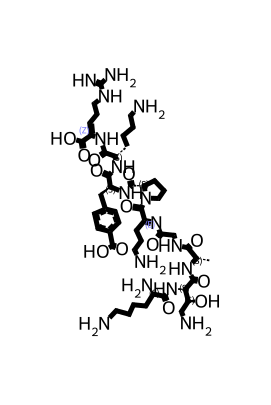 C[C@H](NC(=O)[C@@H](NC(=O)[C@@H](N)CCCCN)[C@@H](O)CN)C(=O)NCC(=O)/N=C(\CCCN)C(=O)N1CCC[C@H]1C(=O)N[C@@H](Cc1ccc(C(=O)O)cc1)C(=O)N[C@@H](CCCCN)C(=O)N/C(=C\CCNC(=N)N)C(=O)O